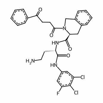 NCC[C@H](NC(=O)[C@@H]1Cc2ccccc2CN1C(=O)CCC(=O)c1ccccc1)C(=O)Nc1cc(F)c(Cl)c(Cl)c1